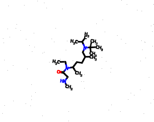 CCN(C(=O)CNC)C(C)CCC(C)CN(C(C)C)C(C)(C)C